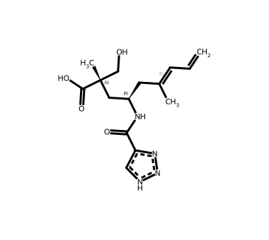 C=C/C=C(\C)C[C@H](C[C@@](C)(CO)C(=O)O)NC(=O)c1c[nH]nn1